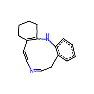 C1=CC2=C(CCCC2)Nc2ccccc2CC=N1